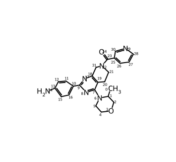 CC1COCCN1c1nc(-c2ccc(N)cc2)nc2c1CCN(C(=O)c1cccnc1)C2